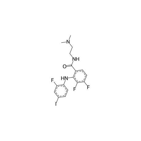 CN(C)CCNC(=O)c1ccc(F)c(F)c1Nc1ccc(I)cc1F